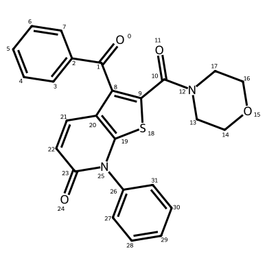 O=C(c1ccccc1)c1c(C(=O)N2CCOCC2)sc2c1ccc(=O)n2-c1ccccc1